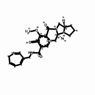 O=C(NCC1=CC=CCN=C1)c1cn2c(c(OP)c1=O)C(=O)N1C[C@@H]3CCCN3[C@H]1C2